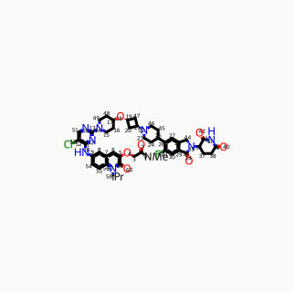 CNC(=O)COc1cc2cc(Nc3nc(N4CCC(O[C@H]5C[C@H](N6CCC(c7cc8c(cc7F)C(=O)N(C7CCC(=O)NC7=O)C8)CC6)C5)CC4)ncc3Cl)ccc2n(C(C)C)c1=O